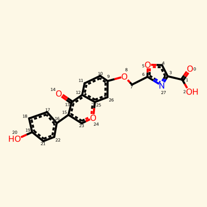 O=C(O)c1coc(COc2ccc3c(=O)c(-c4ccc(O)cc4)coc3c2)n1